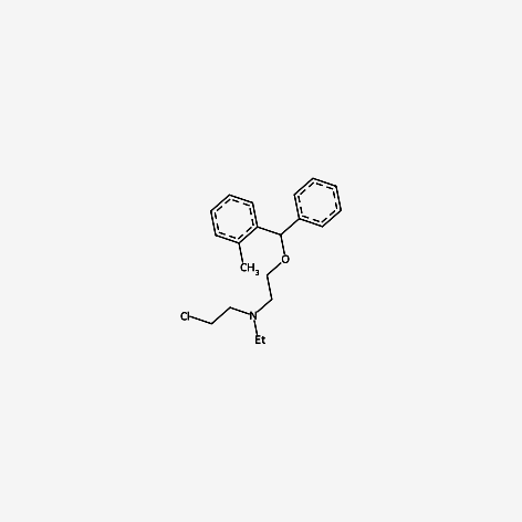 CCN(CCCl)CCOC(c1ccccc1)c1ccccc1C